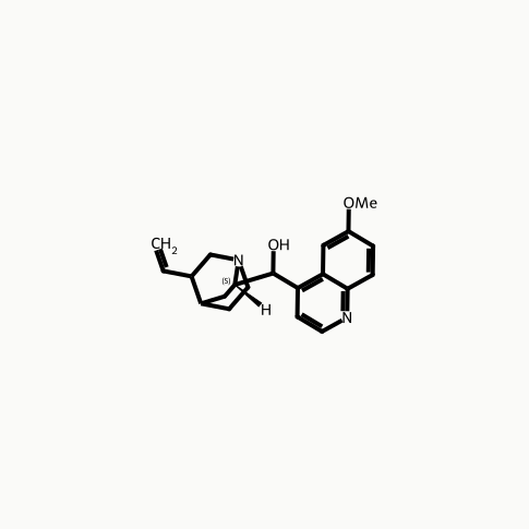 C=CC1CN2CCC1C[C@H]2C(O)c1ccnc2ccc(OC)cc12